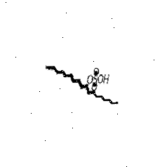 CCCCCCCCCC(CCCCCCCC)OS(=O)(=O)O